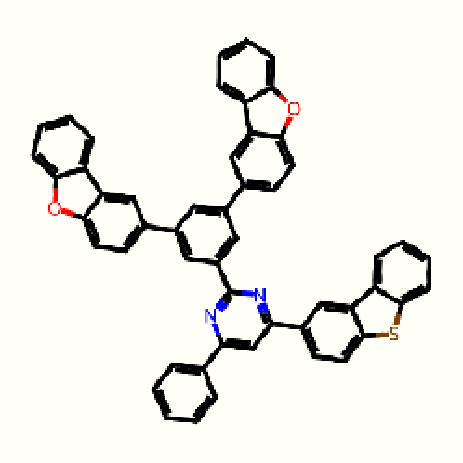 c1ccc(-c2cc(-c3ccc4sc5ccccc5c4c3)nc(-c3cc(-c4ccc5oc6ccccc6c5c4)cc(-c4ccc5oc6ccccc6c5c4)c3)n2)cc1